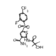 CC(C)(O)C(=O)Nc1sc(S(=O)(=O)c2ccc(C(F)(F)F)cc2F)cc1C(N)=O